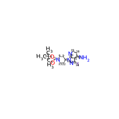 CC(C)(C)OC(=O)N1CCC(n2nc(I)c3c(N)ccnc32)CC1